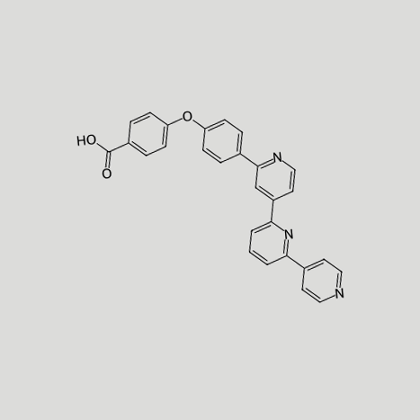 O=C(O)c1ccc(Oc2ccc(-c3cc(-c4cccc(-c5ccncc5)n4)ccn3)cc2)cc1